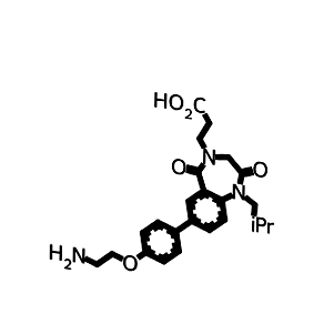 CC(C)CN1C(=O)CN(CCC(=O)O)C(=O)c2cc(-c3ccc(OCCN)cc3)ccc21